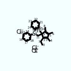 CCC1=C(C)C(C)=C(C)[C]1([Ti+3])C[SiH](c1ccccc1)c1ccccc1.[Cl-].[Cl-].[Cl-]